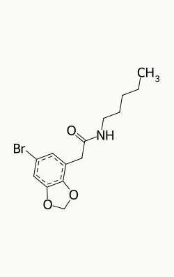 CCCCCNC(=O)Cc1cc(Br)cc2c1OCO2